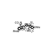 COc1ccc2c(c1)C(C)(C)C(/C=C/C(C#N)=C/C=C1/N(CCC(=O)O)c3ccc(OC)cc3C1(C)C)=[N+]2CCC(=O)O